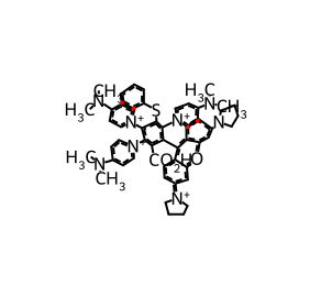 CN(C)c1cc[n+](-c2c(Sc3ccccc3)c(-[n+]3ccc(N(C)C)cc3)c(-[n+]3ccc(N(C)C)cc3)c(C(=O)O)c2-c2c3ccc(=[N+]4CCCC4)cc-3oc3cc(N4CCCC4)ccc23)cc1